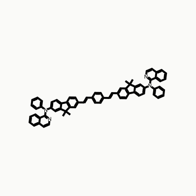 CC1(C)c2cc(/C=C/c3ccc(/C=C/c4ccc5c(c4)C(C)(C)c4cc(N(c6ccccc6)c6nccc7ccccc67)ccc4-5)cc3)ccc2-c2ccc(N(c3ccccc3)c3nccc4ccccc34)cc21